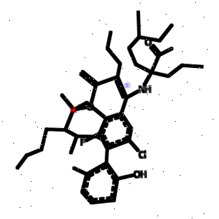 C=C(OCC(CCCC)C(C)CC)/C(CCC)=C(/NC(CCC)(CCC(C)CC)C(C)=O)c1cc(Cl)c(-c2c(C)cccc2O)c(F)c1CCC